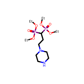 CCOP(=O)(OCC)C(CCN1CCNCC1)P(=O)(OCC)OCC